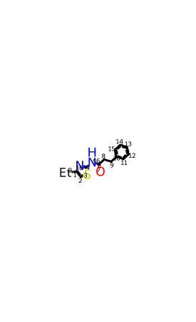 CCc1csc(NC(=O)CCc2ccccc2)n1